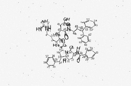 N=C(N)NCCC[C@H](NC(=O)[C@@H]1CC(Cc2ccccc2)[C@@H]2CC[C@H](NC(=O)c3ccccc3)C(=O)N12)C(=O)N[C@@H](CC(=O)O)C(=O)NCCC(c1ccccc1)c1ccccc1